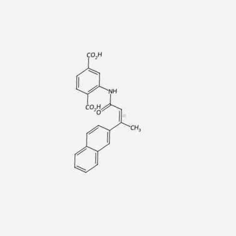 C/C(=C/C(=O)Nc1cc(C(=O)O)ccc1C(=O)O)c1ccc2ccccc2c1